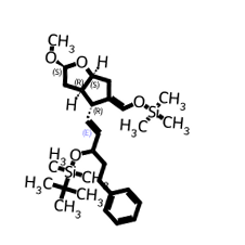 CO[C@@H]1C[C@H]2[C@H](CC(=CO[Si](C)(C)C)[C@@H]2/C=C/C(CCc2ccccc2)O[Si](C)(C)C(C)(C)C)O1